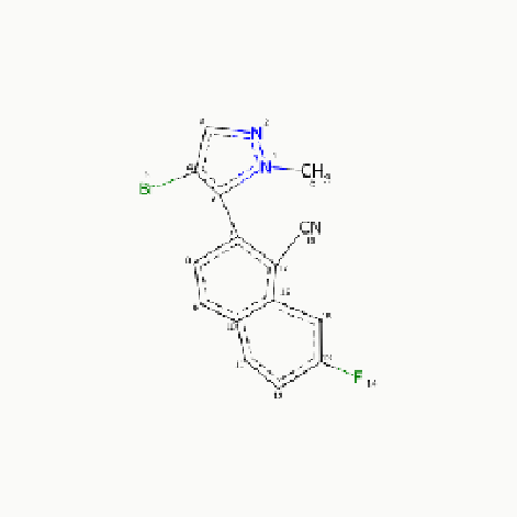 Cn1ncc(Br)c1-c1ccc2ccc(F)cc2c1C#N